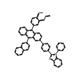 C=C/C=c1/cc(-c2c3ccccc3c(-c3ccc4ccccc4c3)c3cc(-c4ccc(-c5nc6ccccc6n5-c5ccccc5)cc4)ccc23)cc/c1=C/C